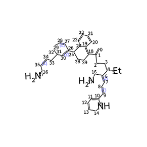 C=C(CCC(CC)/C(=C/C=C/C1=CC=CCN1)CN)C1=C2C=CC=CC2C(C(/C=C\C)=C/C(C)C/C=C\CN)CC1